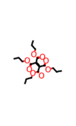 CCCOC(=O)C(C(=O)OCCC)=C(C(=O)OCCC)C(=O)OCCC